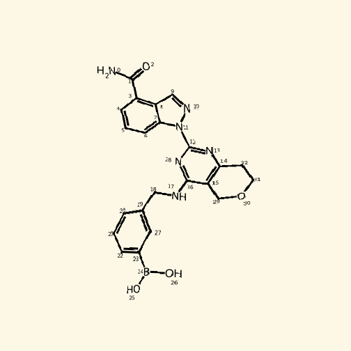 NC(=O)c1cccc2c1cnn2-c1nc2c(c(NCc3cccc(B(O)O)c3)n1)COCC2